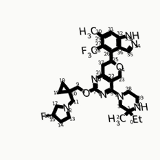 CCC1(C)CN(c2nc(OCC3(CN4CC[C@@H](F)C4)CC3)nc3c2COC(c2c(C(F)(F)F)c(C)cc4[nH]ncc24)C3)CCN1